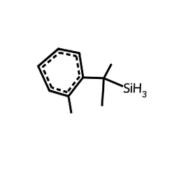 Cc1ccccc1C(C)(C)[SiH3]